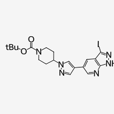 CC(C)(C)OC(=O)N1CCC(n2cc(-c3cnc4[nH]nc(I)c4c3)cn2)CC1